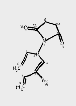 C=C/C(=C\N(C=C)N1C(=O)CCC1=O)C(C)=O